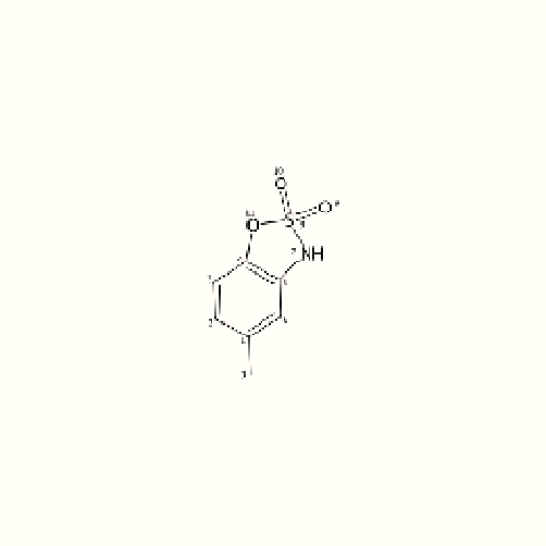 Cc1ccc2c(c1)NS(=O)(=O)O2